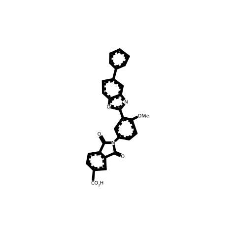 COc1ccc(N2C(=O)c3ccc(C(=O)O)cc3C2=O)cc1-c1nc2cc(-c3ccccc3)ccc2o1